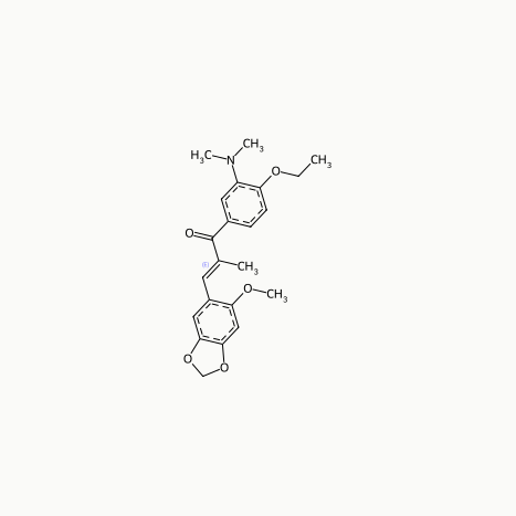 CCOc1ccc(C(=O)/C(C)=C/c2cc3c(cc2OC)OCO3)cc1N(C)C